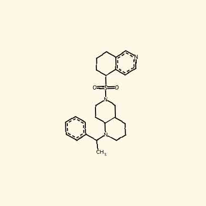 CC(c1ccccc1)N1CCCC2CN(S(=O)(=O)C3CCCc4cnccc43)CCC21